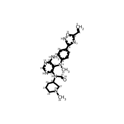 C=Cc1nc(-c2ccc(N(C)c3c(N)ncnc3N(C=O)C3CCCN(C)C3)cc2)no1